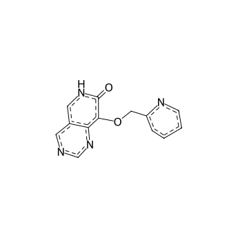 O=c1[nH]cc2cncnc2c1OCc1ccccn1